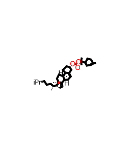 CC1=CCC(C(C)(C)OC(=O)O[C@H]2CC[C@@]3(C)C(=CC[C@H]4[C@@H]5CC[C@H]([C@H](C)CCCC(C)C)[C@@]5(C)CC[C@@H]43)C2)CC1